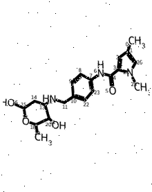 Cc1cc(C(=O)Nc2ccc(CNC3CC(O)OC(C)C3O)cc2)n(C)c1